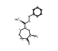 Cl.N[C@@H]1CN(C(=O)OCc2ccccc2)CCNC1=O